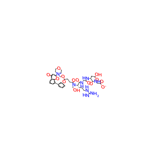 N=C(N)NCCC[C@@H](C(=O)NCC(=O)N[C@@H](CC(=O)O)C(=O)NCC(=O)[O-])N(CO)C(=O)CCC(=O)OC[N+]1(c2cc(=O)c3cccc(-c4ccccc4)c3o2)CCOCC1